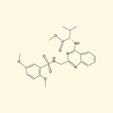 COC(=O)[C@@H](Nc1nc(CNS(=O)(=O)c2cc(OC)ccc2OC)nc2ccccc12)C(C)C